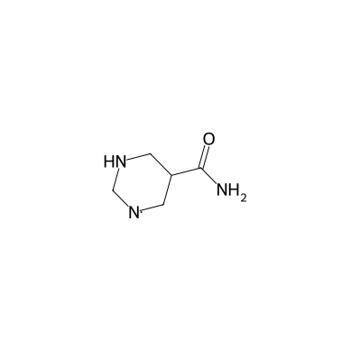 NC(=O)C1C[N]CNC1